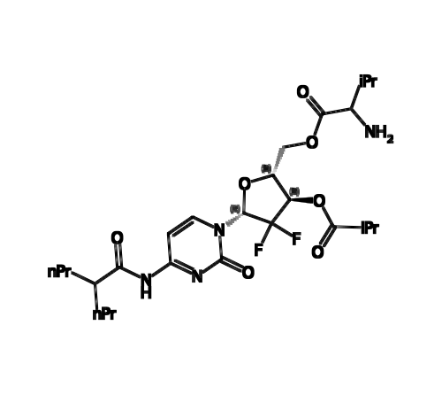 CCCC(CCC)C(=O)Nc1ccn([C@@H]2O[C@H](COC(=O)C(N)C(C)C)[C@@H](OC(=O)C(C)C)C2(F)F)c(=O)n1